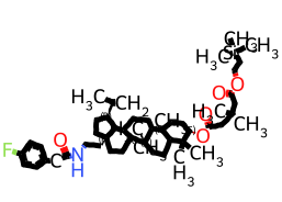 C=C(C)[C@@H]1CC[C@]2(CCNC(=O)Cc3ccc(F)cc3)CC[C@]3(C)C(CCC4[C@@]5(C)CC[C@H](OC(=O)CC(C)(C)CC(=O)OCC[Si](C)(C)C)C(C)(C)C5CC[C@]43C)C12